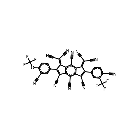 N#CC(C#N)=C1C(c2ccc(OC(F)(F)F)c(C#N)c2)=C(C#N)c2c(C#N)c3c(c(C#N)c21)C(=C(C#N)C#N)C(c1ccc(C#N)c(C(F)(F)F)c1)=C3C#N